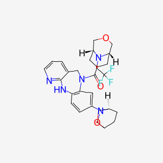 O=C(C1C[C@H]2COC[C@@H](C1)N2CC(F)(F)F)N1Cc2cccnc2Nc2ccc(N3CC4CC[C@H]3CO4)cc21